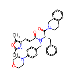 Cc1nc(C=CC(=O)N(Cc2ccc(N3CCOCC3)cc2)[C@@H](Cc2ccccc2)C(=O)N2CCc3ccccc3C2)c(C)o1